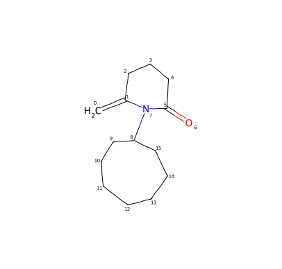 C=C1CCCC(=O)N1C1CCCCCCC1